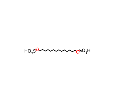 O=S(=O)(O)OCCCCCCCCCCCCCCOS(=O)(=O)O